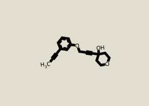 CC#Cc1cccc(OCC#CC2(O)CCOCC2)c1